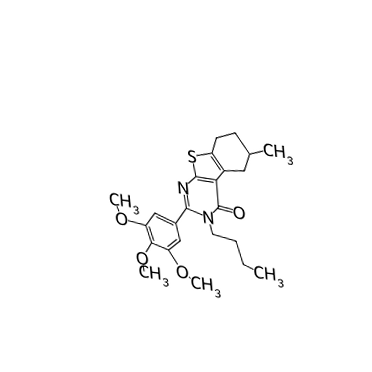 CCCCn1c(-c2cc(OC)c(OC)c(OC)c2)nc2sc3c(c2c1=O)CC(C)CC3